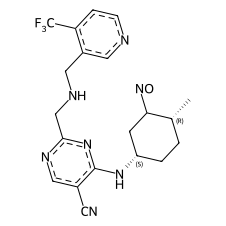 C[C@@H]1CC[C@H](Nc2nc(CNCc3cnccc3C(F)(F)F)ncc2C#N)CC1N=O